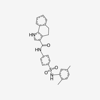 Cc1ccc(C)c(NS(=O)(=O)c2ccc(NC(=O)c3c[nH]c4c3CCc3ccccc3-4)cc2)c1